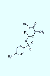 CCCC(ON(C)C(=O)OC(C)(C)C)OS(=O)(=O)c1ccc(C)cc1